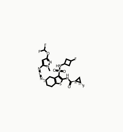 Cn1nc(OC(F)F)cc1N=C=N[C@H]1CCc2sc(NC(=O)[C@H]3C[C@@H]3F)c(S(=O)(=O)NC3CC(F)C3)c2C1